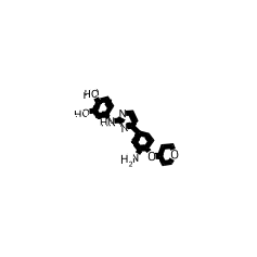 Nc1cc(-c2ccnc(Nc3ccc(O)c(O)c3)n2)ccc1OC1CCOCC1